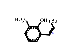 CCCC/C=C\c1cccc(C(=O)O)c1O